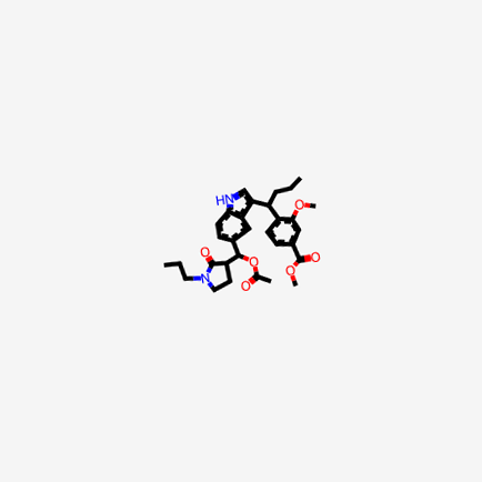 CCCC(c1ccc(C(=O)OC)cc1OC)c1c[nH]c2ccc(C(OC(C)=O)C3CCN(CCC)C3=O)cc12